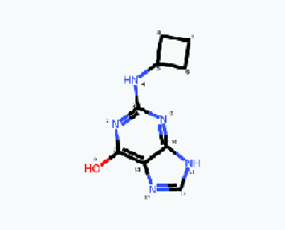 Oc1nc(NC2CCC2)nc2[nH]cnc12